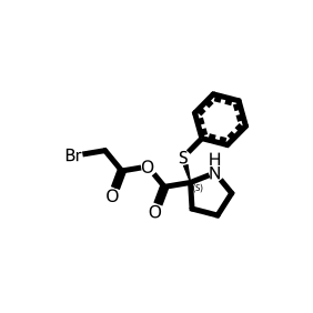 O=C(CBr)OC(=O)[C@@]1(Sc2ccccc2)CCCN1